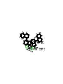 CCCCCC1=Cc2c(-c3cccc4ccccc34)cccc2[CH]1[Zr]([Cl])([Cl])([CH]1C(CCCCC)=Cc2c(-c3cccc4ccccc34)cccc21)[SiH](C)C